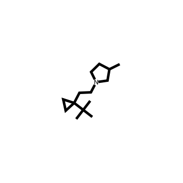 CC1CCN(CCC2(C(C)(C)C)CC2)C1